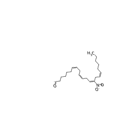 CCCCC/C=C\C/C(=C\C/C=C\C/C=C\CCCCC[C]=O)[N+](=O)[O-]